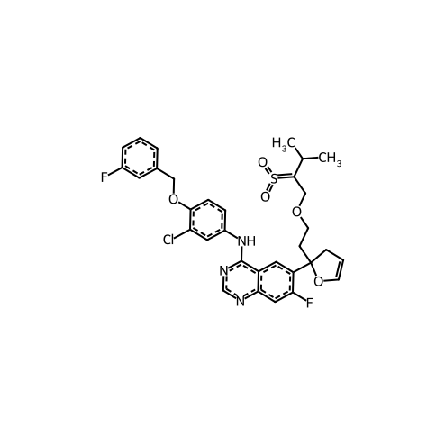 CC(C)C(COCCC1(c2cc3c(Nc4ccc(OCc5cccc(F)c5)c(Cl)c4)ncnc3cc2F)CC=CO1)=S(=O)=O